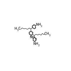 CCCCCCCC(c1ccc(N)cc1)c1ccc(N)c(C(CCCCCCC)c2ccc(N)cc2)c1